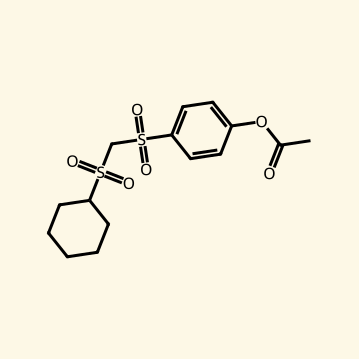 CC(=O)Oc1ccc(S(=O)(=O)CS(=O)(=O)C2CCCCC2)cc1